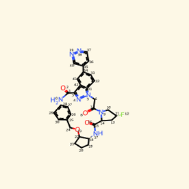 NC(=O)c1nn(CC(=O)N2C[C@H](F)CC2C(=O)N[C@@H]2CCCC2OCc2ccccc2)c2ccc(-c3ccnnc3)cc12